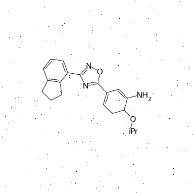 CC(C)OC1CC=C(c2nc(-c3cccc4c3CCC4)no2)C=C1N